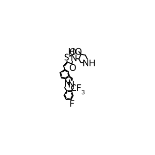 O=C1SC(=Cc2ccc3c(cnn3Cc3ccc(F)cc3C(F)(F)F)c2)C(=O)N1C1CNCCC1O